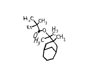 CCC(C)(C)C(=O)OC(C)(C)C1(C)CC2CCCC(C2)C1